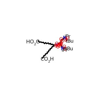 CC(C)N(CCC(=O)OCC(COP(=O)(O)OC[C@H](CCCCCCCCCCCCCCC(=O)O)CCCCCCCCCCCCCC(=O)O)OC(=O)CCN(C(=O)OC(C)(C)C)C(C)C)C(=O)OC(C)(C)C